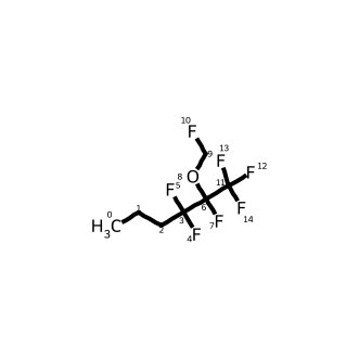 CCCC(F)(F)C(F)(OCF)C(F)(F)F